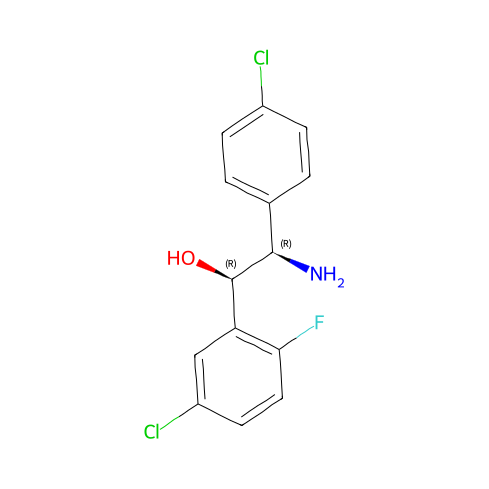 N[C@H](c1ccc(Cl)cc1)[C@H](O)c1cc(Cl)ccc1F